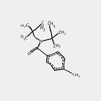 Cc1ccc(C(=O)N(C(C)(C)C)C(C)(C)C)cc1